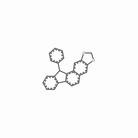 c1ccc(C2c3ccccc3-c3ccc4cc5c(cc4c32)OCO5)cc1